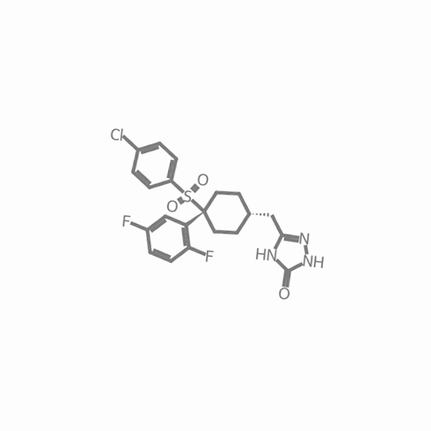 O=c1[nH]nc(C[C@H]2CC[C@@](c3cc(F)ccc3F)(S(=O)(=O)c3ccc(Cl)cc3)CC2)[nH]1